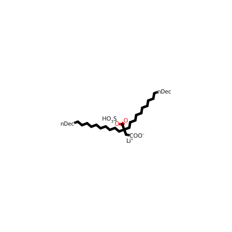 CCCCCCCCCCCCCCCCCCCCC(CCCCCCCCCCCCCCCCCCCC)(CC(=O)[O-])C(=O)OS(=O)(=O)O.[Li+]